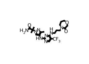 Cc1nn(C(C)(C)C(N)=O)cc1Nc1ncc(C(F)(F)F)c(NCCCN2CCCOCC2=O)n1